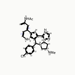 C=C(/C=C(\C=C/N)c1cc(C(c2ccc(Cl)cc2)N2CC[C@H](NC)C2)c(-c2nnc[nH]2)s1)NC(C)=O